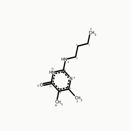 CCCCNc1nc(C)c(C)c(=O)[nH]1